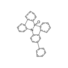 O=P12c3ccccc3-c3ccccc3N1c1ccc(-c3ccccc3)cc1-c1ccccc12